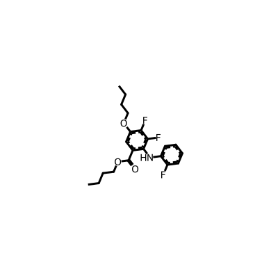 CCCCOC(=O)c1cc(OCCCC)c(F)c(F)c1Nc1ccccc1F